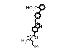 CC(C)CCC(C)NC(=O)c1ccc2c(c1)ncn2Cc1ccc(-c2ccccc2C(=O)O)cc1